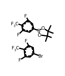 CC1(C)OB(c2cc(F)c(C(F)(F)F)c(F)c2)OC1(C)C.Fc1cc(Br)cc(F)c1C(F)(F)F